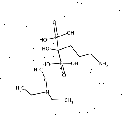 CCN(CC)CC.NCCCC(O)(P(=O)(O)O)P(=O)(O)O